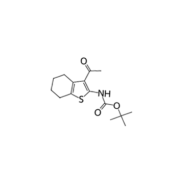 CC(=O)c1c(NC(=O)OC(C)(C)C)sc2c1CCCC2